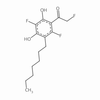 CCCCCCCc1c(O)c(F)c(O)c(C(=O)CF)c1F